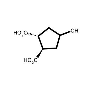 O=C(O)[C@@H]1CC(O)C[C@H]1C(=O)O